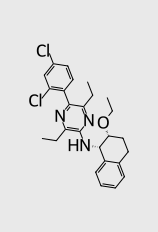 CCO[C@@H]1CCc2ccccc2[C@@H]1Nc1nc(CC)c(-c2ccc(Cl)cc2Cl)nc1CC